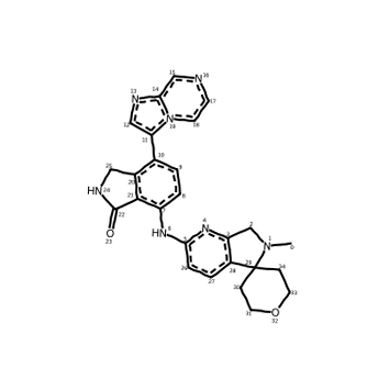 CN1Cc2nc(Nc3ccc(-c4cnc5cnccn45)c4c3C(=O)NC4)ccc2C12CCOCC2